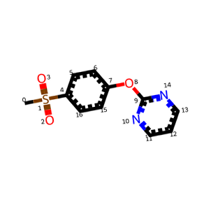 CS(=O)(=O)c1ccc(Oc2n[c]ccn2)cc1